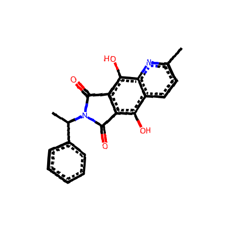 Cc1ccc2c(O)c3c(c(O)c2n1)C(=O)N(C(C)c1ccccc1)C3=O